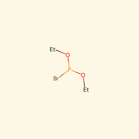 CCOP(Br)OCC